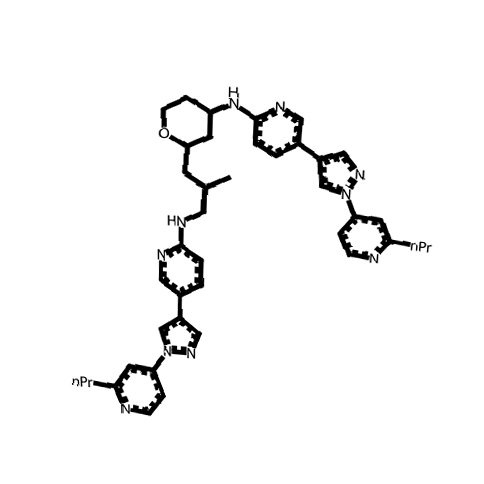 CCCc1cc(-n2cc(-c3ccc(NCC(C)CC4CC(Nc5ccc(-c6cnn(-c7ccnc(CCC)c7)c6)cn5)CCO4)nc3)cn2)ccn1